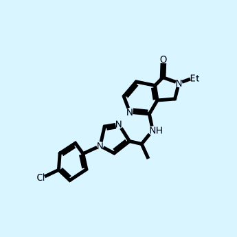 CCN1Cc2c(ccnc2NC(C)c2cn(-c3ccc(Cl)cc3)cn2)C1=O